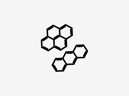 [c]1c2ccccc2cc2ccccc12.[c]1ccc2ccc3cccc4ccc1c2c43